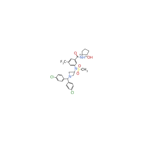 CS(=O)(=O)N(c1cc(C(=O)N[C@H]2CCC[C@@H]2O)cc(C(F)(F)F)c1)C1CN(C(c2ccc(Cl)cc2)c2ccc(Cl)cc2)C1